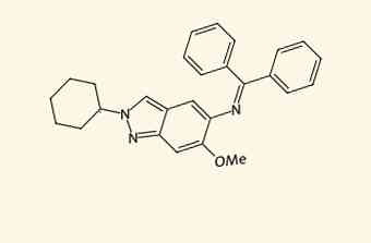 COc1cc2nn([C]3CCCCC3)cc2cc1N=C(c1ccccc1)c1ccccc1